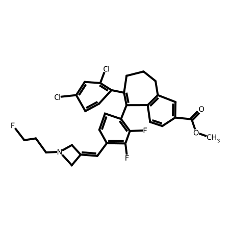 COC(=O)c1ccc2c(c1)CCCC(c1ccc(Cl)cc1Cl)=C2c1ccc(C=C2CN(CCCF)C2)c(F)c1F